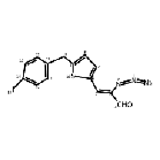 [N-]=[N+]=N/C(C=O)=C\c1ccc(Cc2ccc(I)cc2)s1